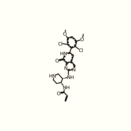 C=CC(=O)N[C@H]1CCNC[C@H]1Nc1ncc2cc(-c3c(Cl)c(OC)cc(OC)c3Cl)[nH]c(=O)c2n1